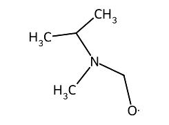 CC(C)N(C)C[O]